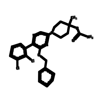 CC1(OC(N)=O)CCN(c2cnc(-c3cccc(Cl)c3Cl)c(OCc3ccccc3)n2)CC1